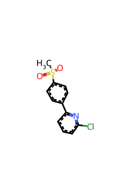 CS(=O)(=O)c1ccc(-c2cccc(Cl)n2)cc1